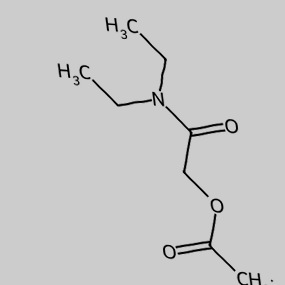 [CH2]C(=O)OCC(=O)N(CC)CC